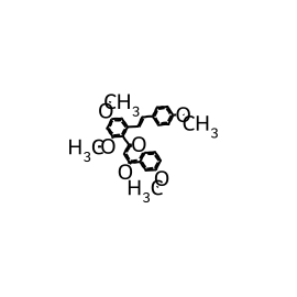 COc1ccc(/C=C/c2cc(OC)cc(OC)c2-c2cc(=O)c3cc(OC)ccc3o2)cc1